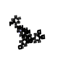 N=c1n(C/C(N)=C/NCc2ccccc2F)c2cc(Cl)ccc2n1CC(O)c1ccc(Cl)c(Cl)c1